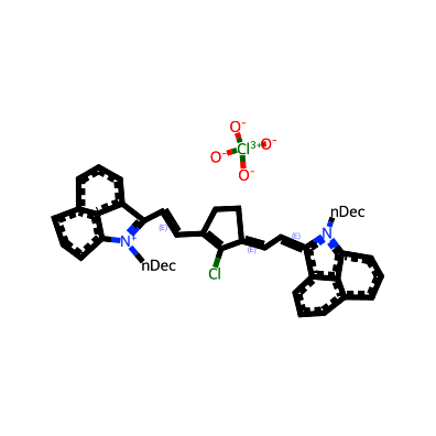 CCCCCCCCCCn1/c(=C/C=C2\CCC(/C=C/C3=[N+](CCCCCCCCCC)c4cccc5cccc3c45)=C2Cl)c2cccc3cccc1c32.[O-][Cl+3]([O-])([O-])[O-]